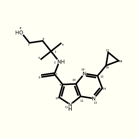 C=C(NC(C)(C)CCO)c1c[nH]c2ncc(C3CC3)nc12